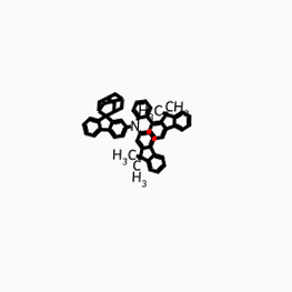 CC1(C)c2ccccc2-c2ccc(N(c3ccc4c(c3)C3(c5ccccc5-4)C4CC5CC(C4)CC3C5)c3ccccc3-c3cccc4c3C(C)(C)c3ccccc3-4)cc21